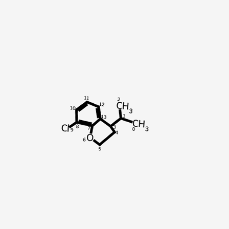 CC(C)C1CCOc2c(Cl)cccc21